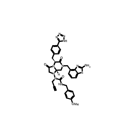 C#CCN(C(=O)NCc1ccc(OC)cc1)N1CC(=O)N2[C@@H](Cc3ccc(-c4nnn[nH]4)cc3)C(=O)N(Cc3cccc4sc(N)nc34)C[C@@H]21